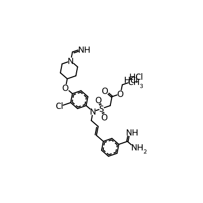 CCOC(=O)CS(=O)(=O)N(C/C=C/c1cccc(C(=N)N)c1)c1ccc(OC2CCN(C=N)CC2)c(Cl)c1.Cl.Cl